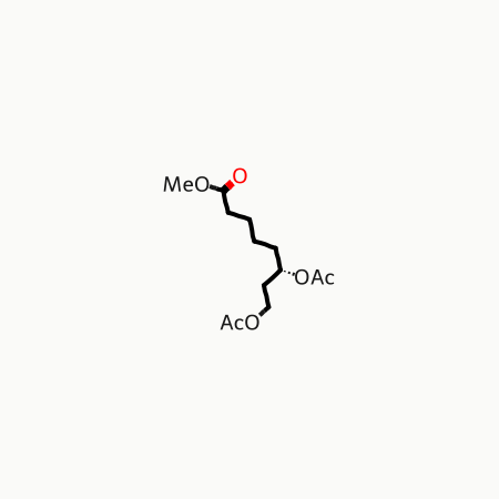 COC(=O)CCCC[C@@H](CCOC(C)=O)OC(C)=O